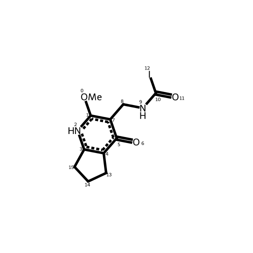 COc1[nH]c2c(c(=O)c1CNC(=O)I)CCC2